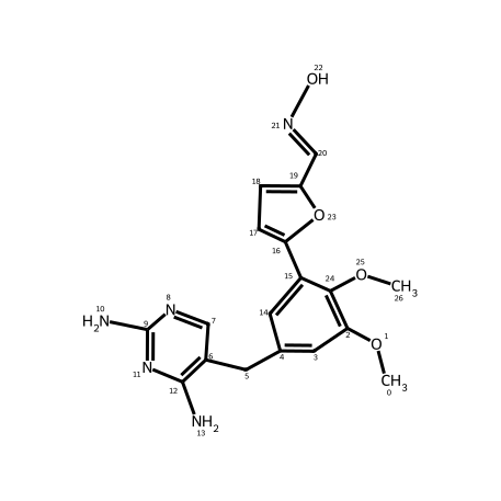 COc1cc(Cc2cnc(N)nc2N)cc(-c2ccc(/C=N/O)o2)c1OC